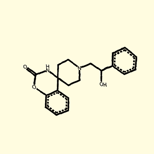 O=C1NC2(CCN(CC(O)c3ccccc3)CC2)c2ccccc2O1